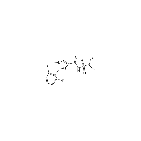 CC(C)N(C)S(=O)(=O)NC(=O)c1cn(C)c(-c2c(F)cccc2F)n1